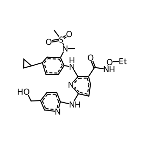 CCONC(=O)c1ccc(Nc2ccc(CO)cn2)nc1Nc1ccc(C2CC2)cc1N(C)S(C)(=O)=O